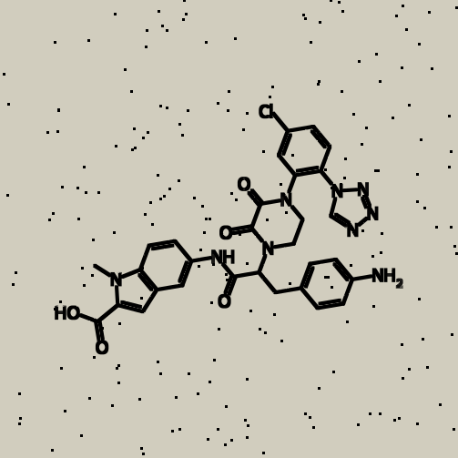 Cn1c(C(=O)O)cc2cc(NC(=O)C(Cc3ccc(N)cc3)N3CCN(c4cc(Cl)ccc4-n4cnnn4)C(=O)C3=O)ccc21